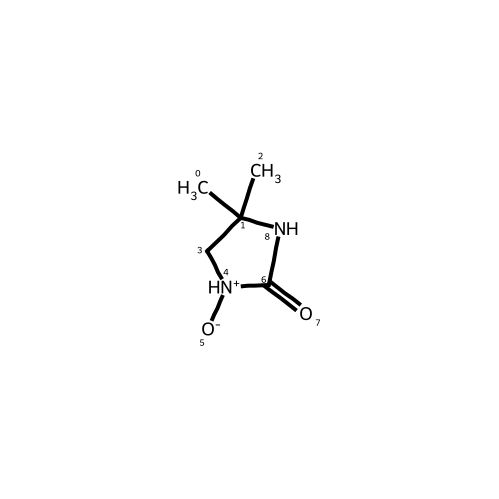 CC1(C)C[NH+]([O-])C(=O)N1